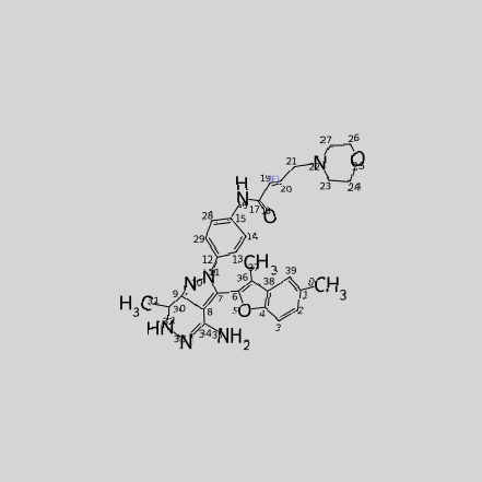 Cc1ccc2oc(-c3c4c(nn3-c3ccc(NC(=O)/C=C/CN5CCOCC5)cc3)C(C)NN=C4N)c(C)c2c1